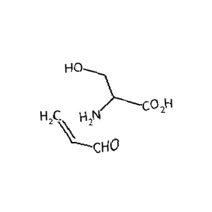 C=CC=O.NC(CO)C(=O)O